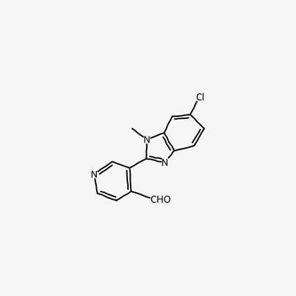 Cn1c(-c2cnccc2C=O)nc2ccc(Cl)cc21